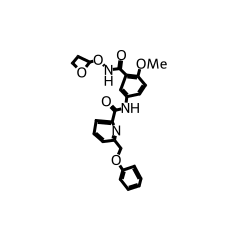 COc1ccc(NC(=O)c2cccc(COc3ccccc3)n2)cc1C(=O)NOC1CCO1